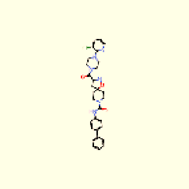 O=C(Nc1ccc(-c2ccccc2)cc1)N1CCC2(CC1)CC(C(=O)N1CCN(c3ncccc3Cl)CC1)=NO2